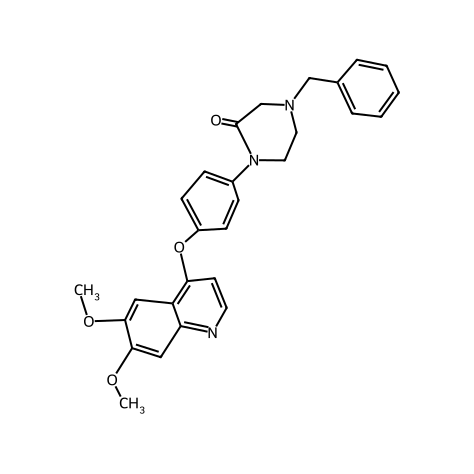 COc1cc2nccc(Oc3ccc(N4CCN(Cc5ccccc5)CC4=O)cc3)c2cc1OC